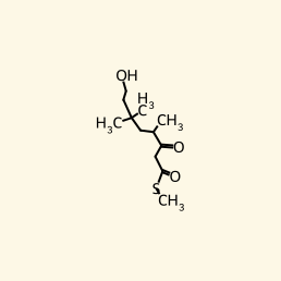 CSC(=O)CC(=O)C(C)CC(C)(C)CCO